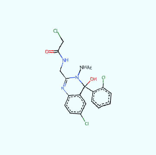 CC(=O)NN1C(CNC(=O)CCl)=Nc2ccc(Cl)cc2C1(O)c1ccccc1Cl